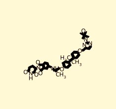 CC(CNc1ccc2c(c1)C(=O)N(C1CCC(=O)NC1=O)C2=O)COc1ccc(C(C)(C)c2ccc(OCc3ccnc(N4CC5(COC5)C4)n3)cc2)cc1